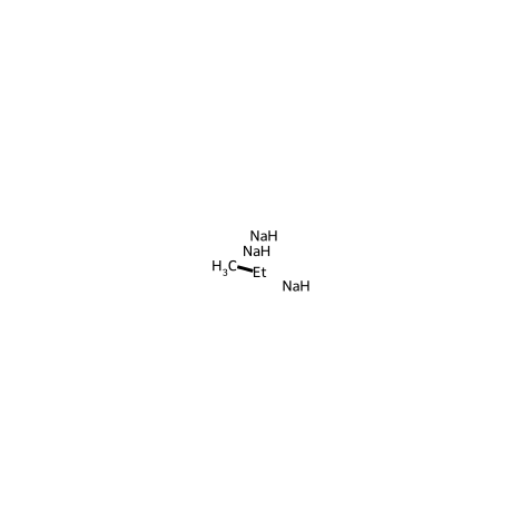 CCC.[NaH].[NaH].[NaH]